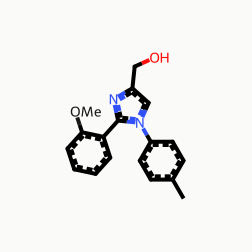 COc1ccccc1-c1nc(CO)cn1-c1ccc(C)cc1